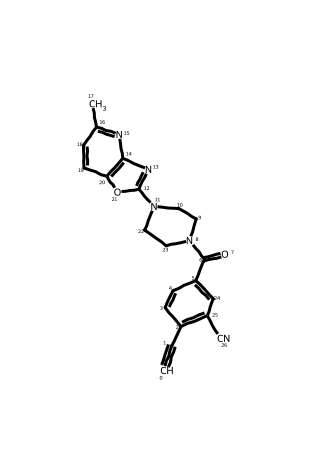 C#Cc1ccc(C(=O)N2CCN(c3nc4nc(C)ccc4o3)CC2)cc1C#N